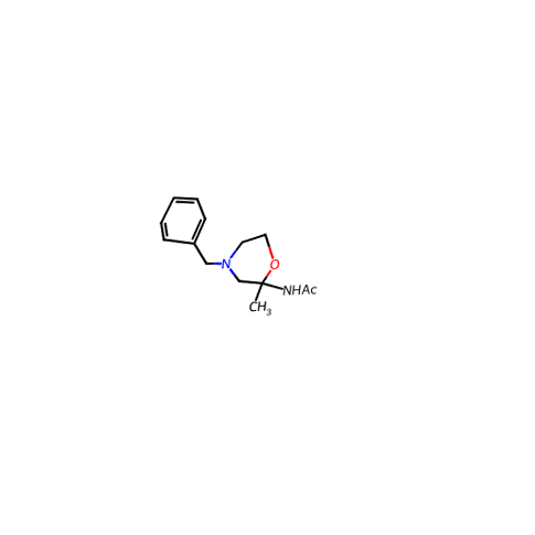 CC(=O)NC1(C)CN(Cc2ccccc2)CCO1